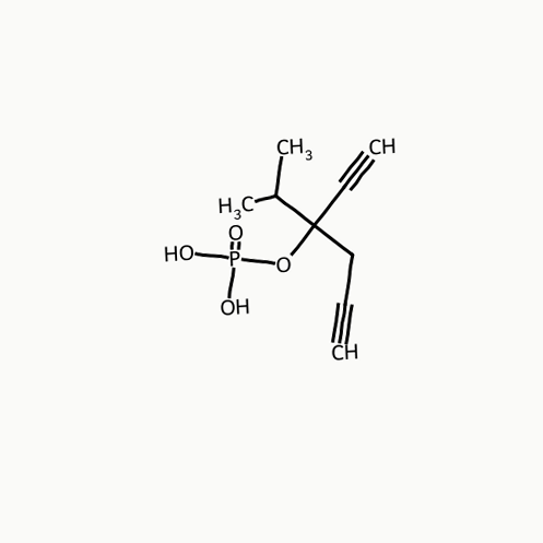 C#CCC(C#C)(OP(=O)(O)O)C(C)C